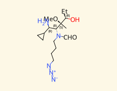 CC[C@@H](O)[C@@](C)(OC)[C@@H]([C@H](N)C1CC1)N(C=O)CCCCN=[N+]=[N-]